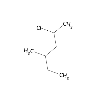 CCC(C)CC(C)Cl